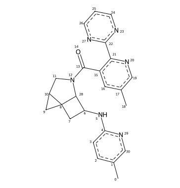 Cc1ccc(NC2CC34CC3CN(C(=O)c3cc(C)cnc3-c3ncccn3)C24)nc1